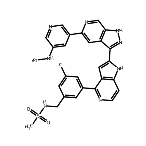 CC(C)Nc1cncc(-c2cc3c(-c4cc5c(-c6cc(F)cc(CNS(C)(=O)=O)c6)nccc5[nH]4)n[nH]c3cn2)c1